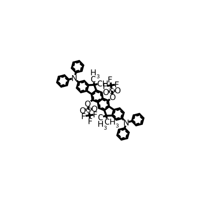 CC1(C)c2cc(N(c3ccccc3)c3ccccc3)ccc2-c2c1cc1c(OS(=O)(=O)C(F)(F)F)c3c(cc1c2OS(=O)(=O)C(F)(F)F)C(C)(C)c1cc(N(c2ccccc2)c2ccccc2)ccc1-3